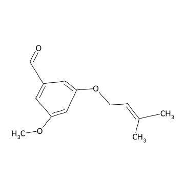 COc1cc(C=O)cc(OCC=C(C)C)c1